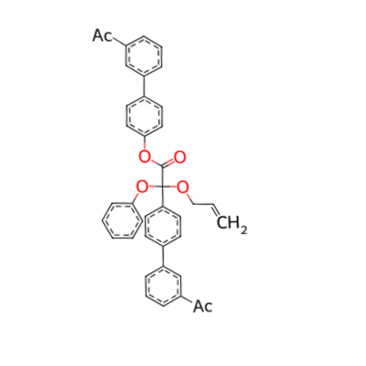 C=CCOC(Oc1ccccc1)(C(=O)Oc1ccc(-c2cccc(C(C)=O)c2)cc1)c1ccc(-c2cccc(C(C)=O)c2)cc1